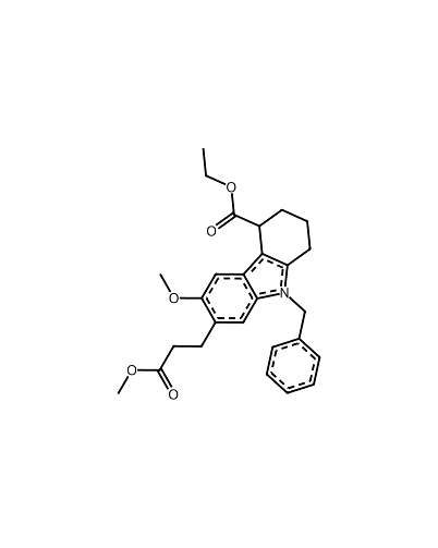 CCOC(=O)C1CCCc2c1c1cc(OC)c(CCC(=O)OC)cc1n2Cc1ccccc1